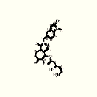 C=C(CC(=N)/C=C\N)SC1=C(C)C(C)CCc2c1cnn(Cc1ccc3c(c1)cc(CC)n3C)c2=O